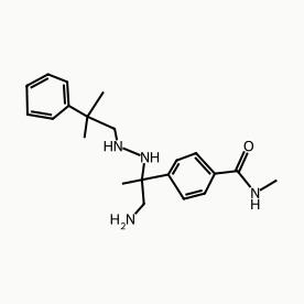 CNC(=O)c1ccc(C(C)(CN)NNCC(C)(C)c2ccccc2)cc1